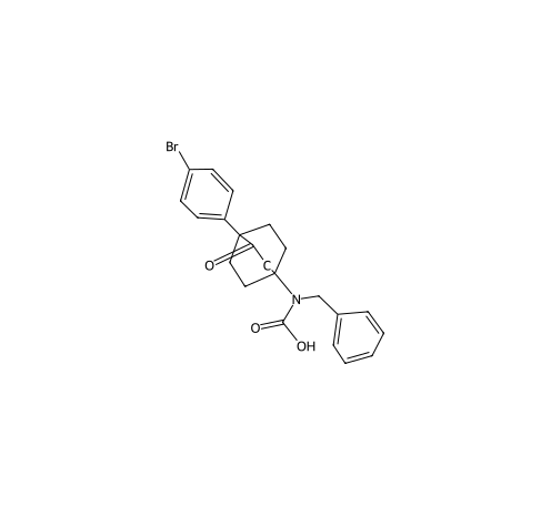 O=C(O)N(Cc1ccccc1)C12CCC(c3ccc(Br)cc3)(CC1)C(=O)C2